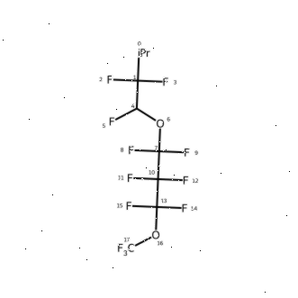 CC(C)C(F)(F)C(F)OC(F)(F)C(F)(F)C(F)(F)OC(F)(F)F